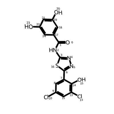 O=C(Nc1nnc(-c2cc(Cl)cc(Cl)c2O)s1)c1cc(O)cc(O)c1